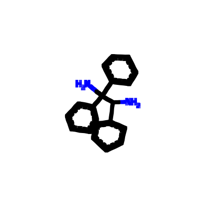 NC(c1ccccc1)C(N)(c1ccccc1)c1ccccc1